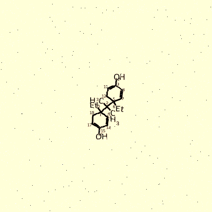 CCC1(C(C)(C)C2(CC)C=CC(O)=CC2)C=CC(O)=CC1